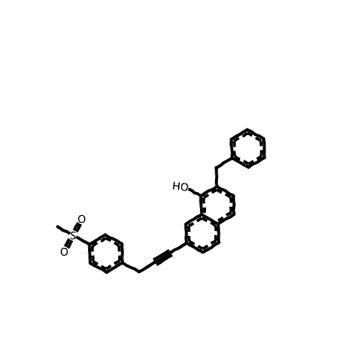 CS(=O)(=O)c1ccc(CC#Cc2ccc3ccc(Cc4ccccc4)c(O)c3c2)cc1